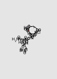 COc1cc2cc(c1Cl)N(C)C(=O)C[C@H](OC(=O)[C@H](C)N(C)C(=O)c1ccc(NC(=O)[C@H](CCCNC(N)=O)NC(=O)[C@@H](NC(C=O)CCCC(C)(C)OC(C=O)(CBr)CBr)C(C)C)cc1)[C@]1(C)O[C@H]1[C@H](C)[C@@H]1C[C@@](O)(NC(=O)O1)[C@H](OC)/C=C/C=C(\C)C2